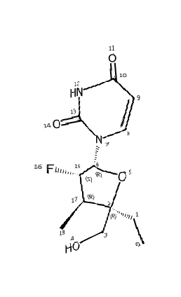 CC[C@@]1(CO)O[C@@H](n2ccc(=O)[nH]c2=O)[C@@H](F)[C@@H]1C